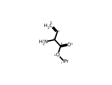 C=CC(N)C(=O)OC(C)C